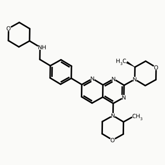 CC1COCCN1c1nc(N2CCOC[C@@H]2C)nc2nc(-c3ccc(CNC4CCOCC4)cc3)ccc12